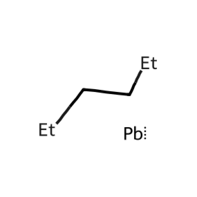 CCCCCC.[Pb]